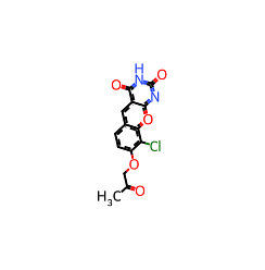 CC(=O)COc1ccc2cc3c(=O)[nH]c(=O)nc-3oc2c1Cl